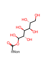 CCCCCCCCCC(=O)OC(O)[C@@H](O)[C@@H](O)[C@H](O)[C@H](O)CO